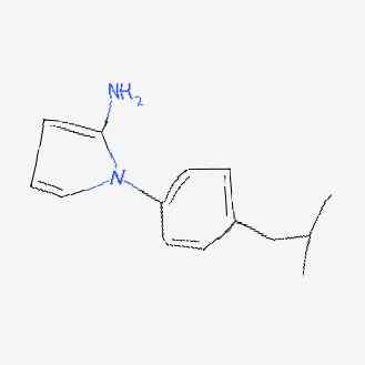 CC(C)c1ccc(-n2cccc2N)cc1